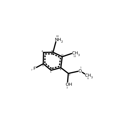 COC(O)c1cc(F)cc(N)c1C